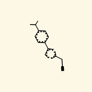 N#CCc1nc(-c2ccc(C(F)F)cc2)cs1